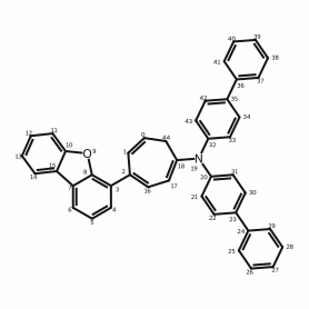 C1=CC(c2cccc3c2oc2ccccc23)=CC=C(N(c2ccc(-c3ccccc3)cc2)c2ccc(-c3ccccc3)cc2)C1